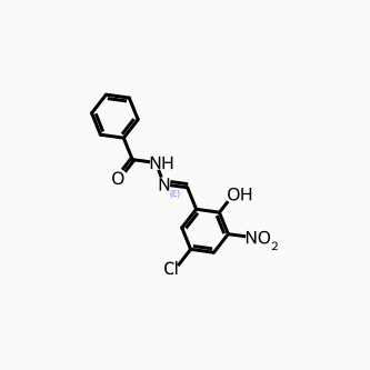 O=C(N/N=C/c1cc(Cl)cc([N+](=O)[O-])c1O)c1ccccc1